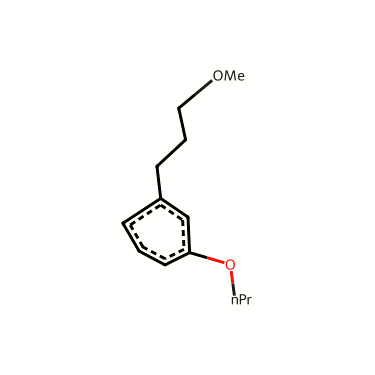 CCCOc1cccc(CCCOC)c1